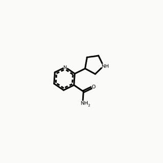 NC(=O)c1cccnc1C1CCNC1